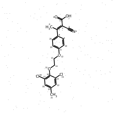 C/C(=C(/C#N)C(=O)O)c1ccc(OCCOc2c(Cl)cc(C)cc2Cl)cc1